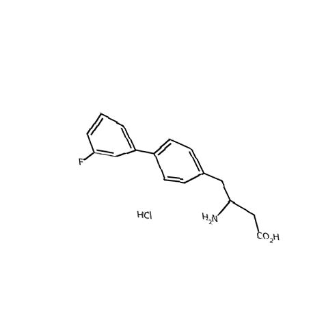 Cl.NC(CC(=O)O)Cc1ccc(-c2cccc(F)c2)cc1